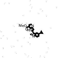 COC(=O)c1ccnc2cc(-c3c4cc(C5CC5)ccc4nn3C)[nH]c12